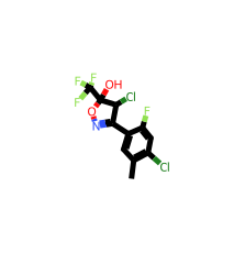 Cc1cc(C2=NOC(O)(C(F)(F)F)C2Cl)c(F)cc1Cl